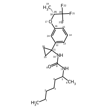 CCCCCC(C)NC(=O)NC1(c2cccc(O[C@H](C)C(F)(F)F)c2)CC1